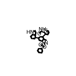 NC(=O)c1ncccc1-c1cc(-c2cccc3[nH]ccc23)cc2c1cnn2S(=O)(=O)c1ccccc1